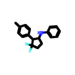 Cc1ccc(C2C(Nc3ccccc3)CCC2(F)F)cc1